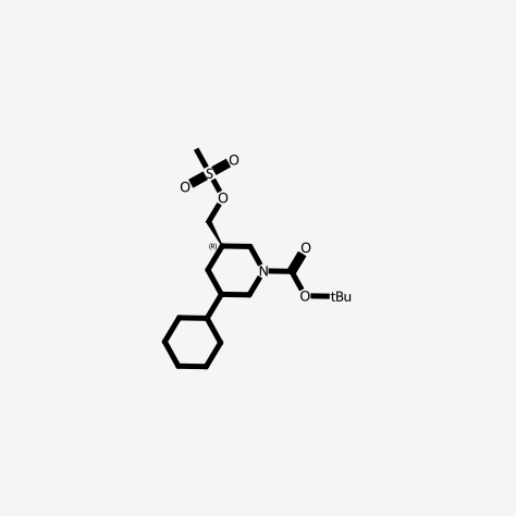 CC(C)(C)OC(=O)N1CC(C2CCCCC2)C[C@@H](COS(C)(=O)=O)C1